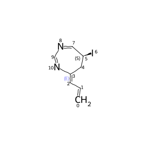 C=C/C=C1\C[C@H](I)C=NC=N1